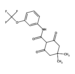 CC1(C)CC(=O)C(C(=O)Nc2cccc(OC(F)(F)F)c2)C(=O)C1